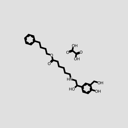 O=C(CCCCCNCC(O)c1ccc(O)c(CO)c1)OCCCCc1ccccc1.O=C(O)C(=O)O